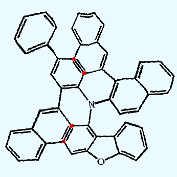 c1ccc(-c2ccc(N(c3ccc4ccccc4c3-c3ccc4ccccc4c3)c3cccc4oc5ccccc5c34)c(-c3ccc4ccccc4c3)c2)cc1